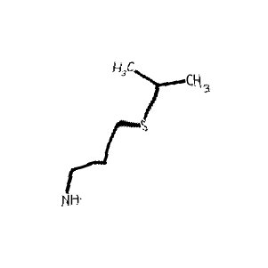 CC(C)SCCC[NH]